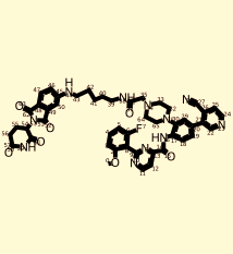 COc1cccc(F)c1-c1nccc(C(=O)Nc2ccc(-c3cnccc3C#N)cc2N2CCN(CC(=O)NCCCCCNc3ccc4c(c3)C(=O)N(C3CCC(=O)NC3=O)C4=O)CC2)n1